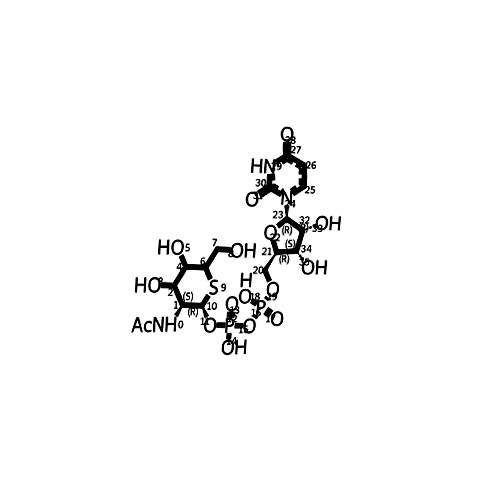 CC(=O)N[C@H]1C(O)C(O)C(CO)S[C@H]1OP(=O)(O)OP(=O)(O)OC[C@H]1O[C@@H](n2ccc(=O)[nH]c2=O)[C@H](O)[C@@H]1O